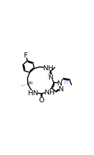 C/C=C\n1ncc2c1/N=C(\C)NCc1cc(F)ccc1C[C@@H](C)CNC(=O)N2